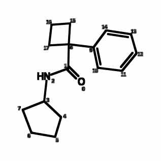 O=C(NC1CCCC1)C1(c2ccccc2)CCC1